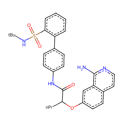 CCCC(Oc1ccc2ccnc(N)c2c1)C(=O)Nc1ccc(-c2ccccc2S(=O)(=O)NC(C)(C)C)cc1